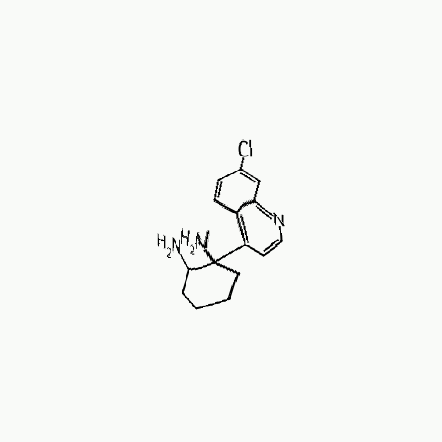 NC1CCCCC1(N)c1ccnc2cc(Cl)ccc12